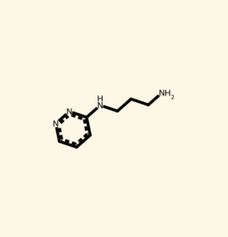 NCCCNc1cccnn1